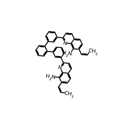 C/C=C\c1ccc2ccc(-c3cccc(-c4ccccc4-c4cccc(-c5ccc6ccc(/C=C\C)c(N)c6n5)c4)c3)nc2c1N